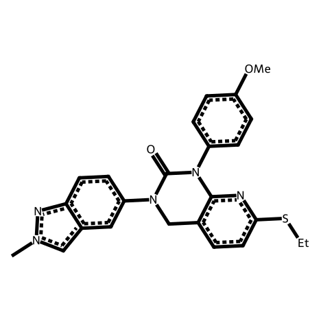 CCSc1ccc2c(n1)N(c1ccc(OC)cc1)C(=O)N(c1ccc3nn(C)cc3c1)C2